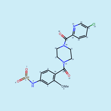 COc1cc(N[SH](=O)=O)ccc1C(=O)N1CCN(C(=O)c2ccc(Cl)cn2)CC1